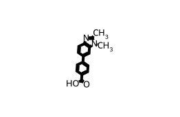 Cc1nc2ccc(-c3ccc(C(=O)O)cc3)cc2n1C